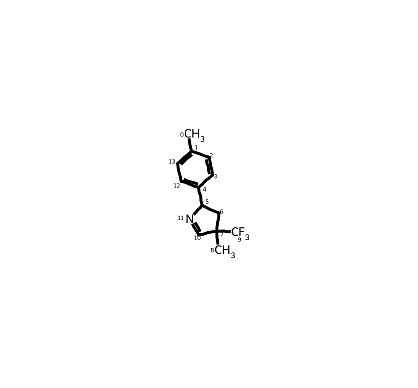 Cc1ccc(C2CC(C)(C(F)(F)F)C=N2)cc1